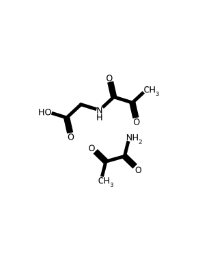 CC(=O)C(=O)NCC(=O)O.CC(=O)C(N)=O